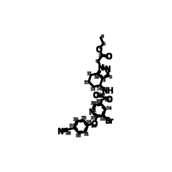 CCOC(=O)Cn1ncc2c1CCCC2NS(=O)(=O)c1cnc(Oc2ccc(C#N)cc2)c(Br)c1